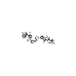 O=C1CCC(N2C(=O)c3ccc(N4CCCC(CN5CC[C@@H](Nc6ncc(Cl)c(-c7c[nH]c8ccccc78)n6)C5)C4)cc3C2=O)C(=O)N1